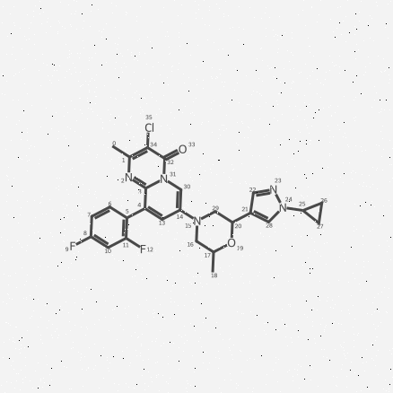 Cc1nc2c(-c3ccc(F)cc3F)cc(N3CC(C)OC(c4cnn(C5CC5)c4)C3)cn2c(=O)c1Cl